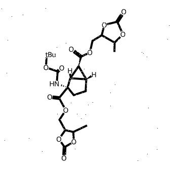 CC1OC(=O)OC1COC(=O)[C@H]1[C@@H]2CC[C@@](NC(=O)OC(C)(C)C)(C(=O)OCC3OC(=O)OC3C)[C@@H]21